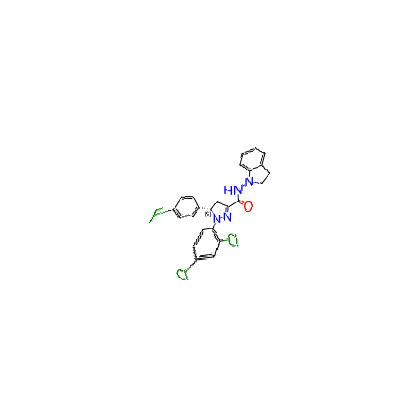 O=C(NN1CCc2ccccc21)C1=NN(c2ccc(Cl)cc2Cl)[C@H](c2ccc(F)cc2)C1